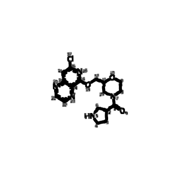 O=C(C1CCNC1)N1CCOC(COc2nc(Cl)cc3nccnc23)C1